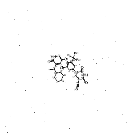 CC(c1cc(Oc2c(Cl)cc(-n3nc(C#N)c(=O)[nH]c3=O)cc2C(F)(F)F)n[nH]c1=O)C1CCCCC1